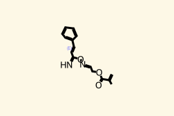 C=C(C)C(=O)OCC=NOC(=N)/C=C/c1ccccc1